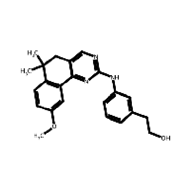 COc1ccc2c(c1)-c1nc(Nc3cccc(CCO)c3)ncc1CC2(C)C